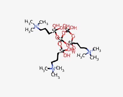 C[N+](C)(C)CCC[Si](O)(O)O[Si]1(O[Si](O)(O)CCC[N+](C)(C)C)O[Si](O)(O)O[Si](O)(CCC[N+](C)(C)C)O1